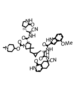 COc1cccc2[nH]c(C(=O)N[C@@H](CC3CC3CC3(C)C[C@@H](C(=O)N[C@H](C#N)C[C@@H]4CCNC4=O)N(C(=O)OC4CCN(C)CC4)C3)C(=O)N[C@@]3(C#N)CCc4cc[nH]c(=O)c4C3)cc12